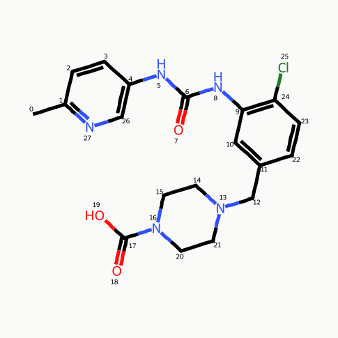 Cc1ccc(NC(=O)Nc2cc(CN3CCN(C(=O)O)CC3)ccc2Cl)cn1